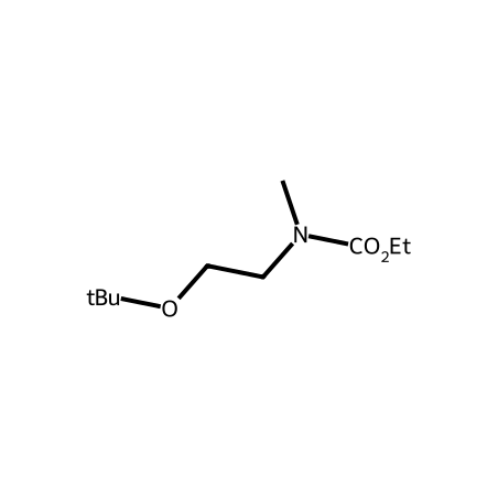 CCOC(=O)N(C)CCOC(C)(C)C